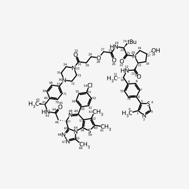 Cc1ncsc1-c1ccc([C@H](C)NC(=O)[C@@H]2C[C@@H](O)CN2C(=O)[C@@H](NC(=O)COCCC(=O)N2CCN(c3ccc([C@H](C)NC(=O)C[C@@H]4N=C(c5ccc(Cl)cc5)c5c(sc(C)c5C)-n5c(C)nnc54)cc3)CC2)C(C)(C)C)cc1